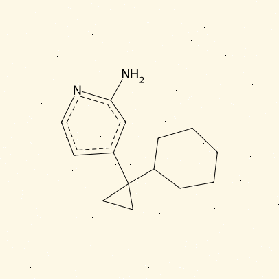 Nc1cc(C2(C3CCCCC3)CC2)ccn1